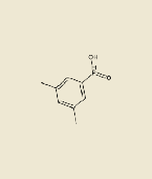 Cc1cc(C)cc([PH](=O)O)c1